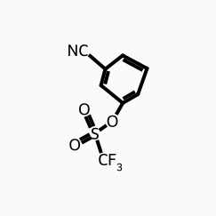 N#Cc1cccc(OS(=O)(=O)C(F)(F)F)c1